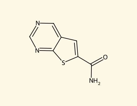 NC(=O)c1cc2cncnc2s1